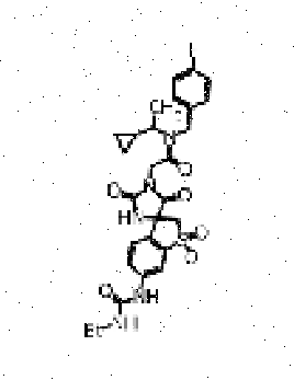 CCNC(=O)Nc1ccc2c(c1)S(=O)(=O)CC21NC(=O)N(CC(=O)N(Cc2ccc(F)cc2)C(C)C2CC2)C1=O